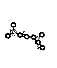 C1=CCC(c2nc(-c3ccccc3)nc(-c3ccc4c(c3)sc3cc(-c5ccc6c(c5)c5cc7sc8ccccc8c7cc5n6-c5ccccc5)ccc34)n2)C=C1